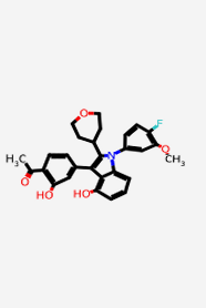 COc1cc(-n2c(C3CCOCC3)c(-c3ccc(C(C)=O)c(O)c3)c3c(O)cccc32)ccc1F